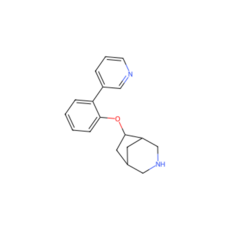 c1cncc(-c2ccccc2OC2CC3CNCC2C3)c1